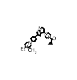 CCN1CCN(c2ccc(-c3cc4c(N5CCN(C(=O)C6CC6)CC5)ccnn4c3)cc2)C[C@H]1C